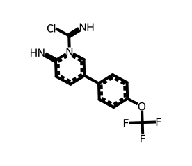 N=C(Cl)n1cc(-c2ccc(OC(F)(F)F)cc2)ccc1=N